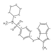 Cc1nc2ccccc2n1Cc1ccc(S(=O)(=O)N(C)C2CCCCC2)cc1